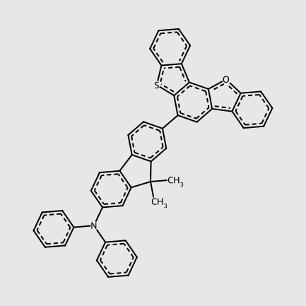 CC1(C)c2cc(-c3cc4c5ccccc5oc4c4c3sc3ccccc34)ccc2-c2ccc(N(c3ccccc3)c3ccccc3)cc21